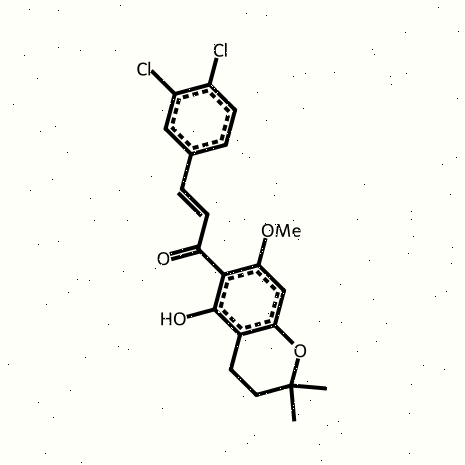 COc1cc2c(c(O)c1C(=O)C=Cc1ccc(Cl)c(Cl)c1)CCC(C)(C)O2